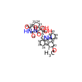 COc1ccc(C(NC[C@H]2O[C@@H](n3ccc(=O)[nH]c3=O)[C@@](O)(C3CCCCO3)[C@@H]2O)(c2ccccc2)c2ccccc2)cc1